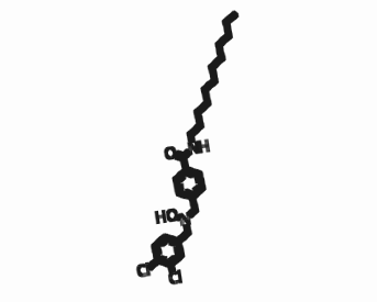 CCCCCCCCCCCCNC(=O)c1ccc(CN(O)Cc2ccc(Cl)c(Cl)c2)cc1